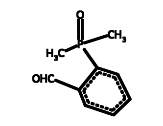 CP(C)(=O)c1ccccc1C=O